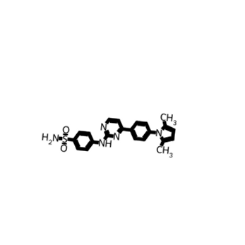 Cc1ccc(C)n1-c1ccc(-c2ccnc(Nc3ccc(S(N)(=O)=O)cc3)n2)cc1